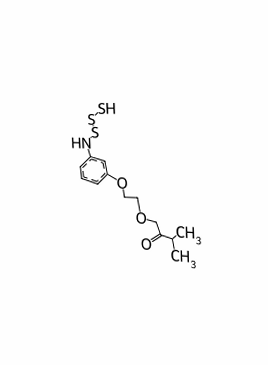 CC(C)C(=O)COCCOc1cccc(NSSS)c1